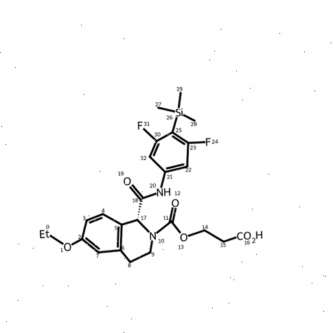 CCOc1ccc2c(c1)CCN(C(=O)OCCC(=O)O)[C@H]2C(=O)Nc1cc(F)c([Si](C)(C)C)c(F)c1